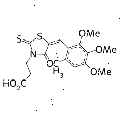 COc1cc(C)c(/C=C2/SC(=S)N(CCC(=O)O)C2=O)c(OC)c1OC